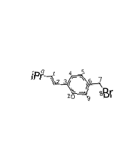 CC(C)C=Cc1ccc(CBr)cc1